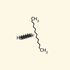 Br.Br.Br.Br.Br.Br.CCCCCCCCCCCCC